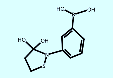 OB(O)c1cccc(N2SCCC2(O)O)c1